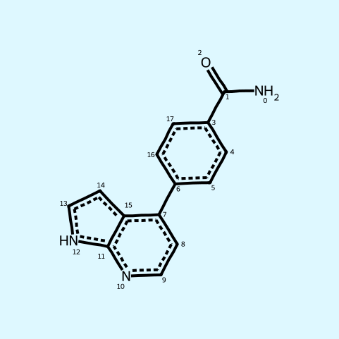 NC(=O)c1ccc(-c2ccnc3[nH]ccc23)cc1